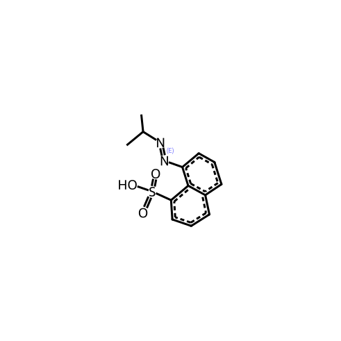 CC(C)/N=N/c1cccc2cccc(S(=O)(=O)O)c12